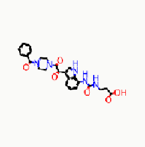 O=C(O)CCNC(=O)Nc1cccc2c(C(=O)C(=O)N3CCN(C(=O)c4ccccc4)CC3)c[nH]c12